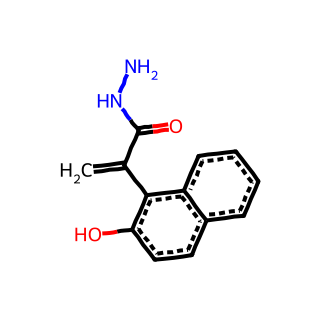 C=C(C(=O)NN)c1c(O)ccc2ccccc12